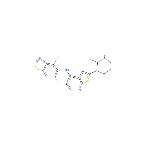 CC1NCCCC1c1cc2c(Nc3c(F)cc4scnc4c3F)ccnc2s1